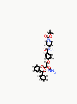 CC(C)(C)OC(=O)N1CCC(NC(=O)c2ccc(OCC(ON)C(=O)OC(c3ccccc3)c3ccccc3)cc2)CC1